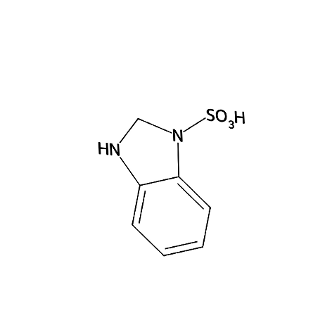 O=S(=O)(O)N1CNc2ccccc21